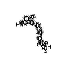 O=C1CC[C@H](N2Cc3cc(N4CCN(CC5CCN(c6ccc(C7=C(C8CCCC8)CCCc8c7ccc7[nH]ncc87)cc6)CC5)CC4)ccc3C2=O)C(=O)N1